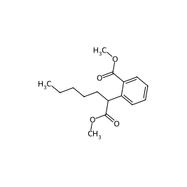 CCCCCC(C(=O)OC)c1ccccc1C(=O)OC